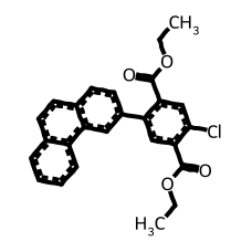 CCOC(=O)c1cc(-c2ccc3ccc4ccccc4c3c2)c(C(=O)OCC)cc1Cl